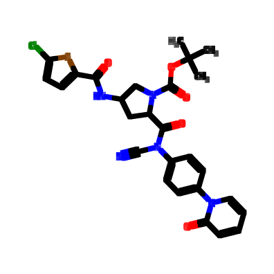 CC(C)(C)OC(=O)N1CC(NC(=O)c2ccc(Cl)s2)CC1C(=O)N(C#N)c1ccc(-n2ccccc2=O)cc1